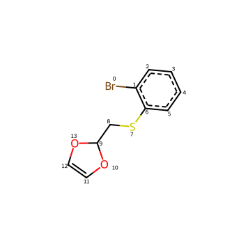 Brc1ccccc1SCC1OC=CO1